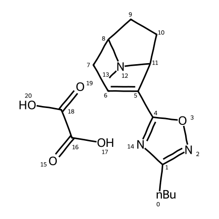 CCCCc1noc(C2=CCC3CCC2N3C)n1.O=C(O)C(=O)O